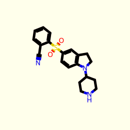 N#Cc1ccccc1S(=O)(=O)c1ccc2c(c1)CCN2C1CCNCC1